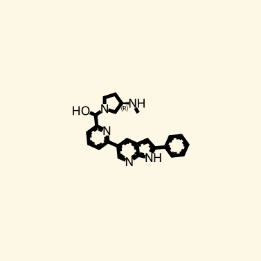 CN[C@@H]1CCN(C(O)c2cccc(-c3cnc4[nH]c(-c5ccccc5)cc4c3)n2)C1